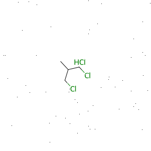 CC(CCl)CCl.Cl